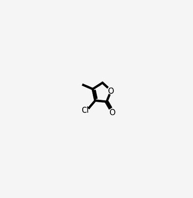 CC1=C(Cl)C(=O)OC1